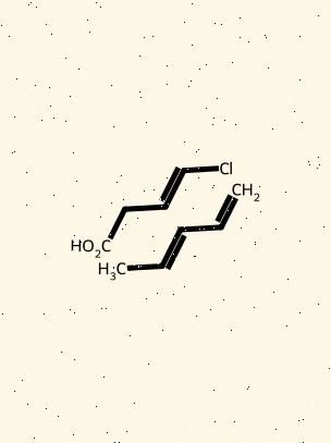 C=CC=CC.O=C(O)CC=CCl